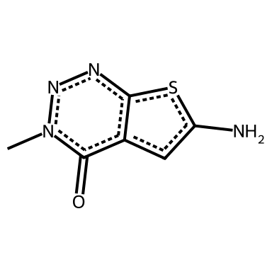 Cn1nnc2sc(N)cc2c1=O